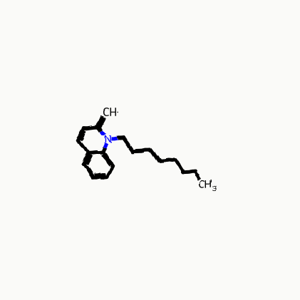 [CH]=C1C=Cc2ccccc2N1CCCCCCCC